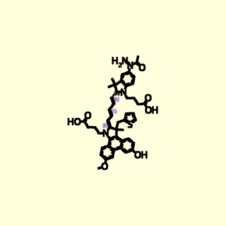 COc1ccc2c3c(c4ccc(O)cc4c2c1)C(C)(Cc1cccs1)\C(=C/C=C/C=C/[C@H]1N(CCCC(=O)O)c2ccc(N(N)C(C)=O)cc2C1(C)C)N3CCCC(=O)O